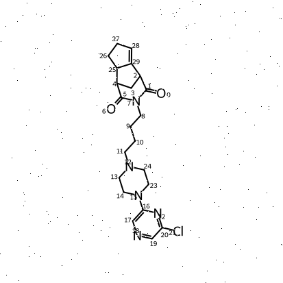 O=C1C2CC(C(=O)N1CCCCN1CCN(c3cncc(Cl)n3)CC1)C1CCC=C21